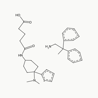 CC(CN)(c1ccccc1)c1ccccc1.CN(C)C1(c2cccs2)CCC(NC(=O)CCCC(=O)O)CC1